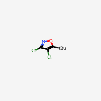 CC(C)(C)c1onc(Cl)c1Cl